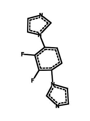 Fc1c(-n2ccnc2)ccc(-n2ccnc2)c1F